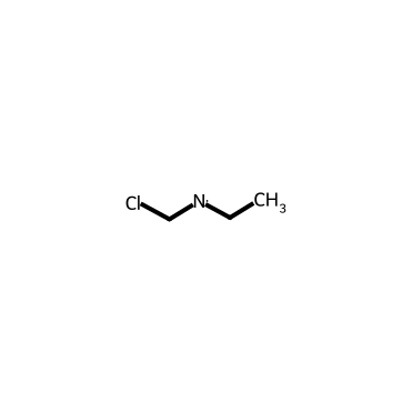 CC[N]CCl